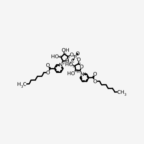 CCCCCCCOC(=O)c1ccc[n+]([C@@H]2O[C@H](OP(C)(=O)O[C@H]3O[C@@H]([n+]4cccc(C(=O)OCCCCCCC)c4)[C@@H](O)[C@H]3O)[C@H](O)[C@@H]2O)c1